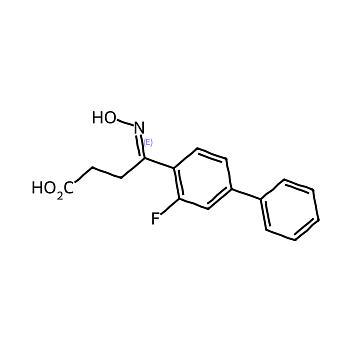 O=C(O)CC/C(=N\O)c1ccc(-c2ccccc2)cc1F